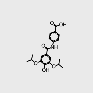 CC(C)Oc1cc(C(=O)Nc2ccc(C(=O)O)cc2)cc(OC(C)C)c1O